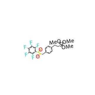 CO[Si](CCc1ccc(CS(=O)(=O)c2c(F)c(F)c(F)c(F)c2F)cc1)(OC)OC